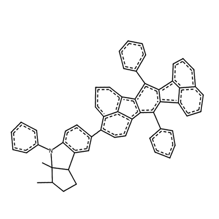 CC1CCC2c3cc(-c4ccc5c6c(-c7ccccc7)c7c8cccc9cccc(c7c(-c7ccccc7)c6c6cccc4c65)c98)ccc3N(c3ccccc3)C12C